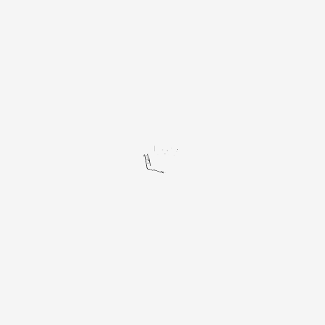 C=C[CH-]C.[Cl-].[Mg+2]